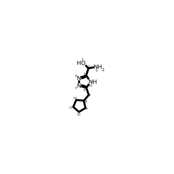 NC(O)c1nnc(CC2CCCC2)[nH]1